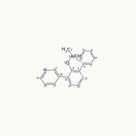 [CH3][Al]([CH3])[O]c1c(-c2ccccc2)cccc1-c1ccccc1